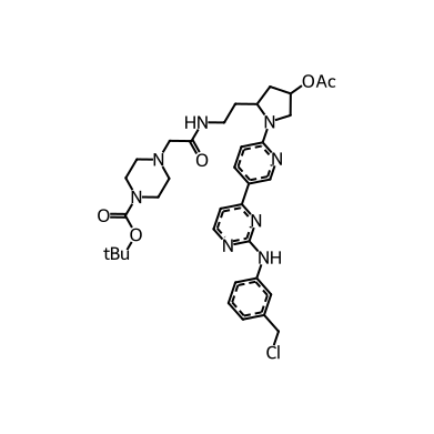 CC(=O)OC1CC(CCNC(=O)CN2CCN(C(=O)OC(C)(C)C)CC2)N(c2ccc(-c3ccnc(Nc4cccc(CCl)c4)n3)cn2)C1